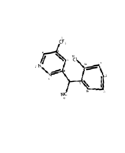 N#CC(c1cc(C(F)(F)F)cnn1)c1ccccc1Cl